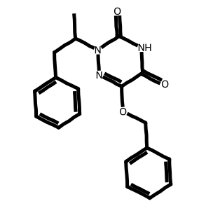 CC(Cc1ccccc1)n1nc(OCc2ccccc2)c(=O)[nH]c1=O